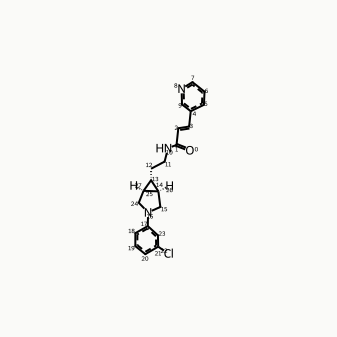 O=C(/C=C/c1cccnc1)NCC[C@@H]1[C@H]2CN(c3cccc(Cl)c3)C[C@@H]12